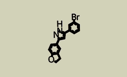 Brc1cccc(-c2cc(-c3ccc4c(c3)CCO4)n[nH]2)c1